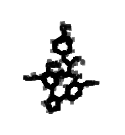 COc1ccc(-c2csnc2-c2cc(C)c(OC)c(OC)c2)cc1NC(=O)[C@H](N)Cc1ccc(O)cc1